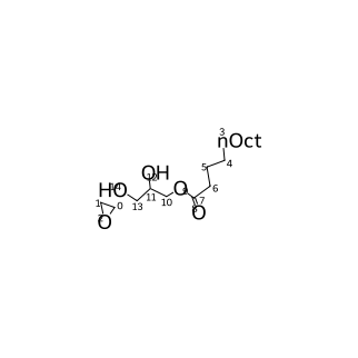 C1CO1.CCCCCCCCCCCC(=O)OCC(O)CO